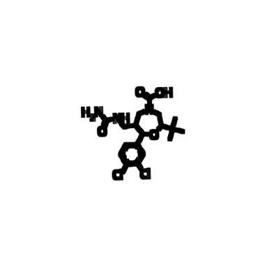 CC(C)(C)C1CN(C(=O)O)CC(CNC(N)=O)C(c2ccc(Cl)c(Cl)c2)O1